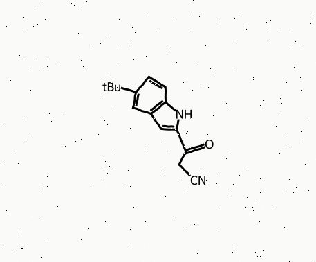 CC(C)(C)c1ccc2[nH]c(C(=O)CC#N)cc2c1